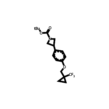 CC(C)(C)OC(=O)N1CC(c2ccc(OCC3(C(F)(F)F)CC3)cc2)C1